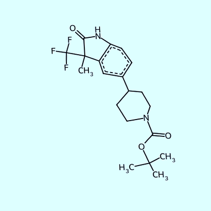 CC(C)(C)OC(=O)N1CCC(c2ccc3c(c2)C(C)(C(F)(F)F)C(=O)N3)CC1